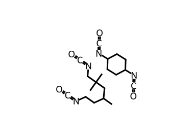 CC(CCN=C=O)CC(C)(C)CN=C=O.O=C=NC1CCC(N=C=O)CC1